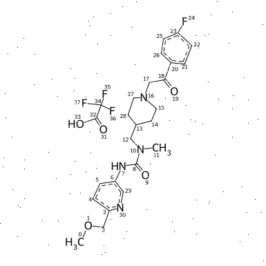 COCc1ccc(NC(=O)N(C)CC2CCN(CC(=O)c3ccc(F)cc3)CC2)cn1.O=C(O)C(F)(F)F